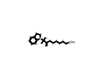 C=C(CCCCCCCCCCCCCCCC)C(C)(C)N1CCc2ccccc21